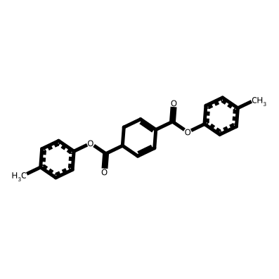 Cc1ccc(OC(=O)C2=CCC(C(=O)Oc3ccc(C)cc3)C=C2)cc1